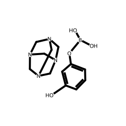 C1N2CN3CN1CN(C2)C3.OB(O)Oc1cccc(O)c1